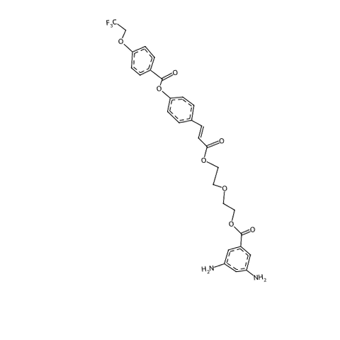 Nc1cc(N)cc(C(=O)OCCOCCOC(=O)C=Cc2ccc(OC(=O)c3ccc(OCC(F)(F)F)cc3)cc2)c1